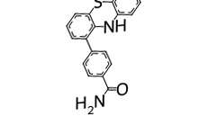 NC(=O)c1ccc(-c2cccc3c2Nc2ccccc2S3)cc1